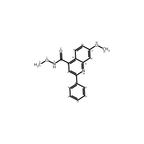 CONC(=O)c1cc(-c2ccccc2)nc2cc(OC)ccc12